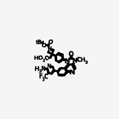 Cn1c(=O)n(-c2ccc(C3(CC(=O)O)CN(C(=O)OC(C)(C)C)C3)cc2)c2c3cc(-c4cnc(N)c(C(F)(F)F)c4)ccc3ncc21